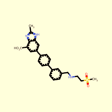 Cc1nc2c(C(=O)O)cc(-c3ccc(-c4cccc(CNCCS(C)(=O)=O)c4)cc3)cc2[nH]1